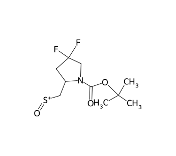 CC(C)(C)OC(=O)N1CC(F)(F)CC1C[S+]=O